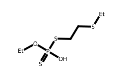 CCOP(O)(=S)SCCSCC